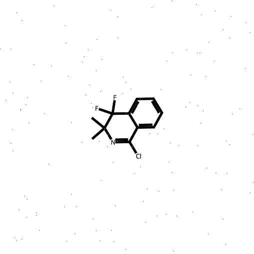 CC1(C)N=C(Cl)c2ccccc2C1(F)F